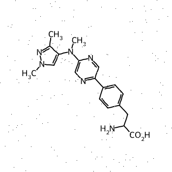 Cc1nn(C)cc1N(C)c1cnc(-c2ccc(CC(N)C(=O)O)cc2)cn1